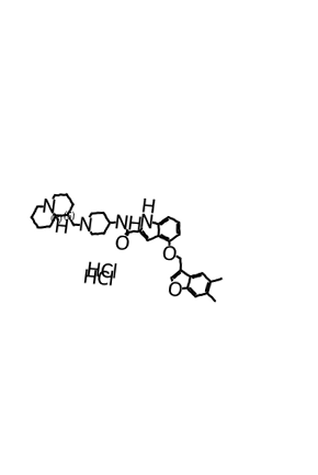 Cc1cc2occ(COc3cccc4[nH]c(C(=O)NC5CCN(C[C@@H]6CCCN7CCCC[C@H]67)CC5)cc34)c2cc1C.Cl.Cl